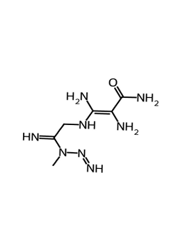 CN(N=N)C(=N)CN/C(N)=C(\N)C(N)=O